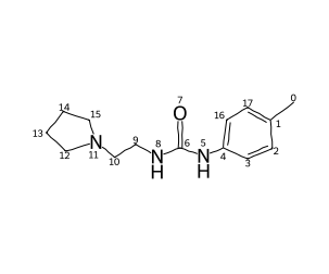 Cc1ccc(NC(=O)NCCN2CCCC2)cc1